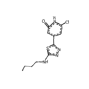 CCCCNc1nnc(-c2cc(Cl)[nH]c(=O)c2)s1